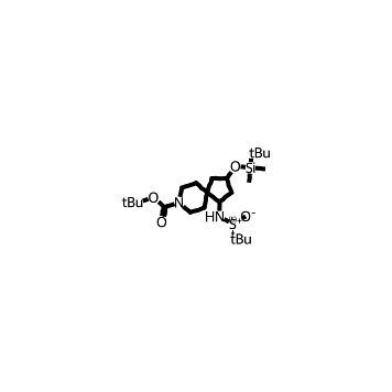 CC(C)(C)OC(=O)N1CCC2(CC1)CC(O[Si](C)(C)C(C)(C)C)CC2N[S@+]([O-])C(C)(C)C